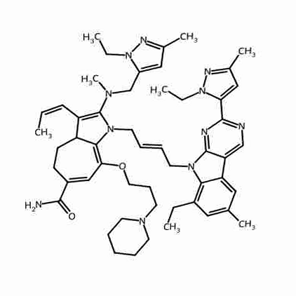 C/C=C\C1=C(N(C)Cc2cc(C)nn2CC)N(C/C=C/Cn2c3nc(-c4cc(C)nn4CC)ncc3c3cc(C)cc(CC)c32)C2=C(OCCCN3CCCCC3)C=C(C(N)=O)CCC12